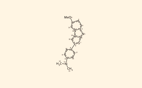 COc1ccc2nc3sc(-c4ccc(N(C)C)cc4)cn3c2c1